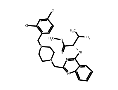 COC(=O)[C@@H](Nc1nc(CN2CCN(Cc3ccc(Cl)cc3Cl)CC2)nc2ccccc12)C(C)C